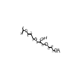 CC(C)OCCCOCC(O)COCCCO